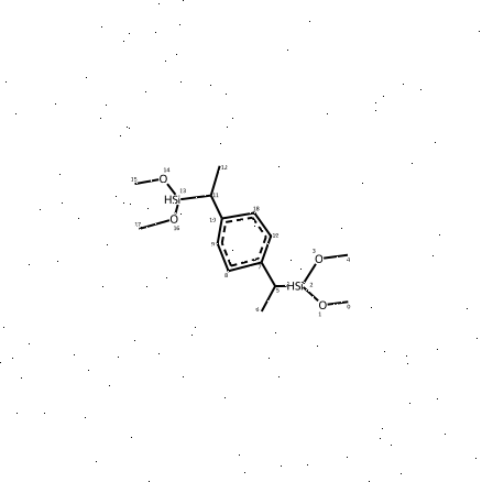 CO[SiH](OC)C(C)c1ccc(C(C)[SiH](OC)OC)cc1